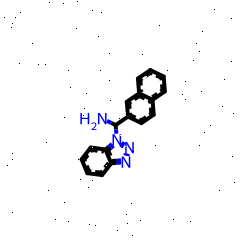 NC(c1ccc2ccccc2c1)n1nnc2ccccc21